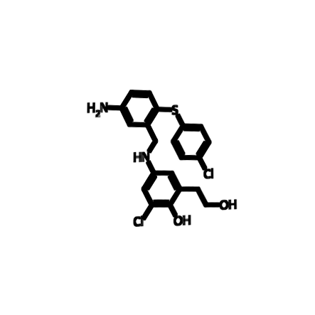 Nc1ccc(Sc2ccc(Cl)cc2)c(CNc2cc(Cl)c(O)c(CCO)c2)c1